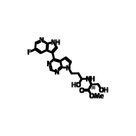 COC(=O)[C@H](CO)NC(O)CCn1ccc2c(-c3c[nH]c4ncc(F)cc34)ncnc21